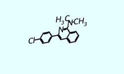 CN(C)c1nc(-c2ccc(Cl)cc2)cc2ccccc12